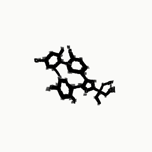 CCC(CO)(CO)c1nc(-c2ccc(=O)n(-c3c(C)cc(Cl)cc3C)c2)c(-c2ccc(F)cc2F)o1